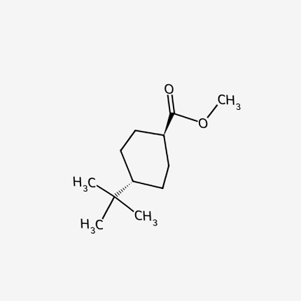 COC(=O)[C@H]1CC[C@H](C(C)(C)C)CC1